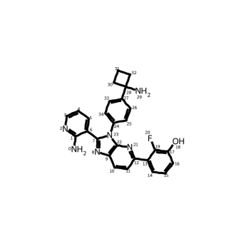 Nc1ncccc1-c1nc2ccc(-c3cccc(O)c3F)nc2n1-c1ccc(C2(N)CCC2)cc1